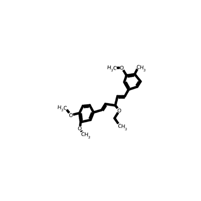 CCOC(C=Cc1ccc(C)c(OC)c1)C=Cc1ccc(OC)c(OC)c1